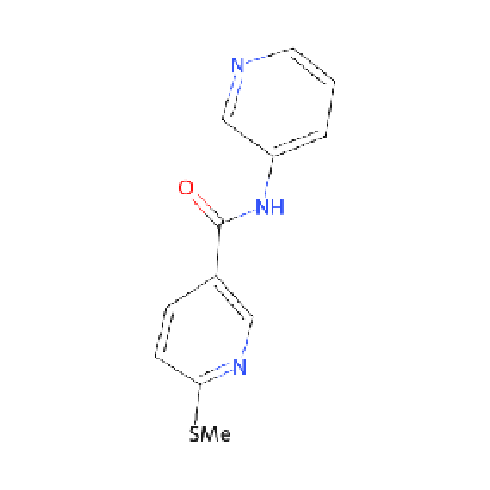 CSc1ccc(C(=O)Nc2cccnc2)cn1